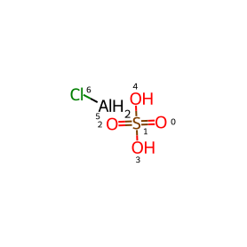 O=S(=O)(O)O.[AlH2][Cl]